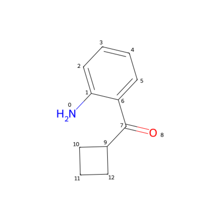 Nc1ccccc1C(=O)C1CCC1